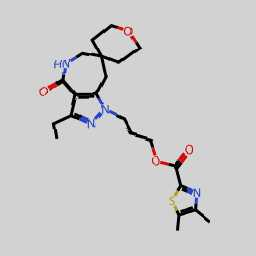 CCc1nn(CCCOC(=O)c2nc(C)c(C)s2)c2c1C(=O)NCC1(CCOCC1)C2